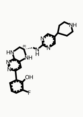 Oc1c(F)cccc1-c1cc2c(nn1)NC[C@H](CNc1ncc(C3CCNCC3)cn1)N2